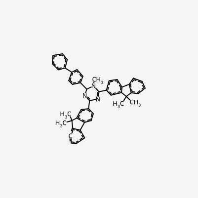 CN1C(c2ccc3c(c2)C(C)(C)c2ccccc2-3)=NC(c2ccc3c(c2)C(C)(C)c2ccccc2-3)=NC1c1ccc(-c2ccccc2)cc1